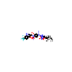 CC(C)(C)c1cc(NC(=O)Nc2ccc(NC(=O)c3cnc4cc(C(F)(F)F)ccc4c3O)cc2)no1